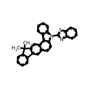 CC1(C)c2ccccc2-c2cc3ccc4c(c3cc21)c1ccccc1n4-c1nc2ccccc2s1